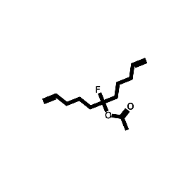 C=CCCCC(F)(CCCC=C)OC(C)=O